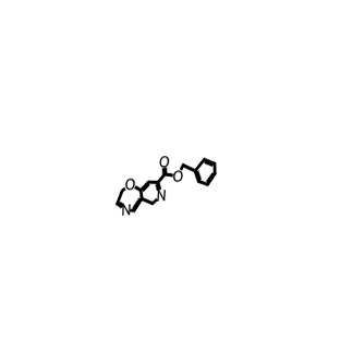 O=C(OCc1ccccc1)C1=NCC2=CN=CCOC2=C1